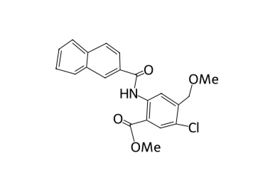 COCc1cc(NC(=O)c2ccc3ccccc3c2)c(C(=O)OC)cc1Cl